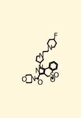 O=C(c1nn([C@H]2CCN(CCN3CCC(F)CC3)C2)c2c1CS(=O)(=O)c1ccccc1-2)N1CCOCC1